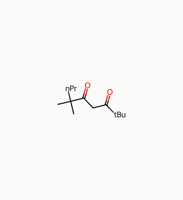 CCCC(C)(C)C(=O)CC(=O)C(C)(C)C